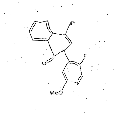 COc1cc(-n2cc(C(C)C)c3ccccc3c2=O)c(F)cn1